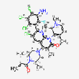 C=CC(=O)N1[C@H](C)CN(c2c(C#N)c(=O)n(C3=C(C)C=CN(C)C3C(C)C)c3nc(-c4c(F)c(N)c(Cl)c(Cl)c4Cl)c(Cl)cc23)C[C@@H]1C